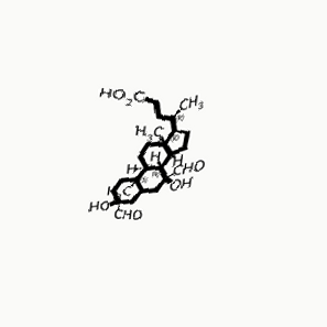 C[C@H](CCC(=O)O)[C@H]1CC[C@H]2[C@H]3[C@H](CC[C@]12C)[C@@]1(C)CC[C@@](O)(C=O)CC1C[C@@]3(O)C=O